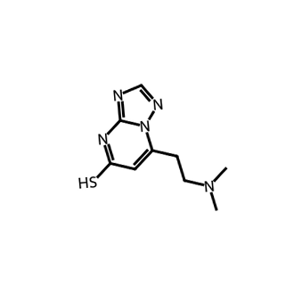 CN(C)CCc1cc(S)nc2ncnn12